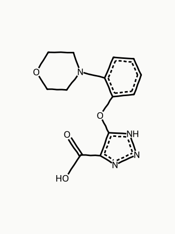 O=C(O)c1nn[nH]c1Oc1ccccc1N1CCOCC1